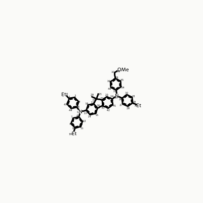 CCc1ccc(N(c2ccc(CC)cc2)c2ccc3c(c2)C(C)(C)c2cc(N(c4ccc(CC)cc4)c4ccc(COC)cc4)ccc2-3)cc1